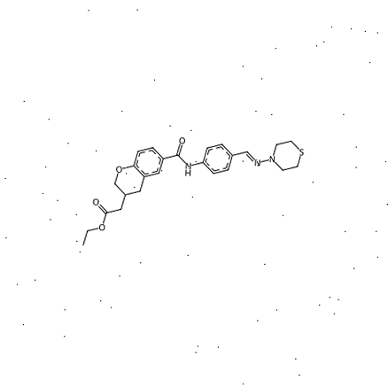 CCOC(=O)CC1COc2ccc(C(=O)Nc3ccc(C=NN4CCSCC4)cc3)cc2C1